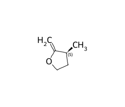 C=C1OCC[C@@H]1C